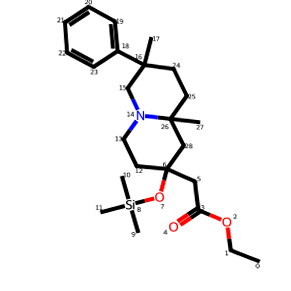 CCOC(=O)CC1(O[Si](C)(C)C)CCN2CC(C)(c3ccccc3)CCC2(C)C1